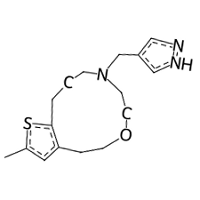 Cc1cc2c(s1)CCCN(Cc1cn[nH]c1)CCOCC2